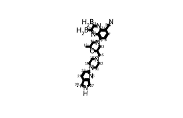 Bc1nc2c(C#N)ccc(N3CC(C)OC(CN4CCN(c5ccc6c(n5)CN[C@@H]6C)CC4)C3)c2nc1B